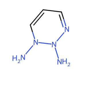 NN1C=CC=NN1N